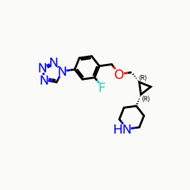 Fc1cc(-n2cnnn2)ccc1COC[C@@H]1C[C@@H]1C1CCNCC1